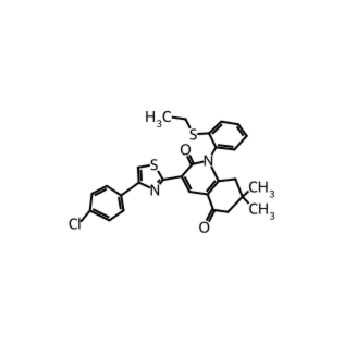 CCSc1ccccc1-n1c2c(cc(-c3nc(-c4ccc(Cl)cc4)cs3)c1=O)C(=O)CC(C)(C)C2